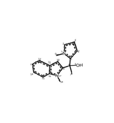 Cn1cccc1C(C)(O)c1cc2ccccc2n1C